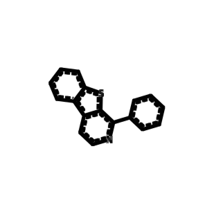 c1ccc(-c2nccc3c2sc2ccccc23)cc1